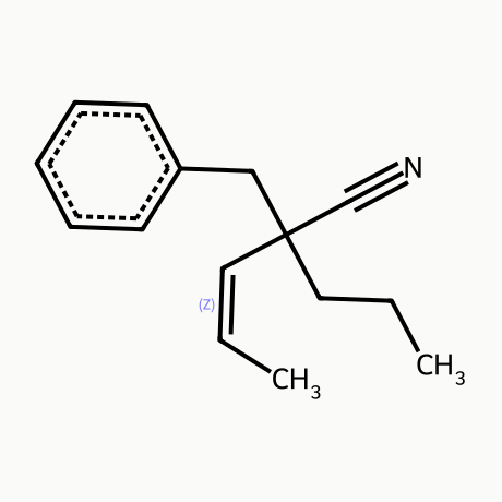 C/C=C\C(C#N)(CCC)Cc1ccccc1